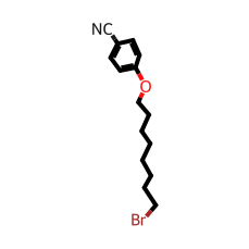 N#Cc1ccc(OCCCCCCCCBr)cc1